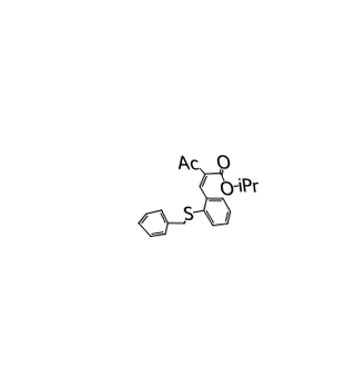 CC(=O)C(=Cc1ccccc1SCc1ccccc1)C(=O)OC(C)C